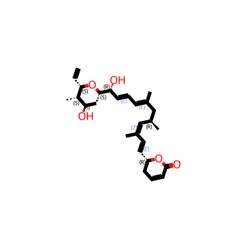 C=C[C@@H]1O[C@H]([C@H](O)/C=C/C=C(\C)C[C@@H](C)/C=C(C)\C=C\[C@H]2CC=CC(=O)O2)C[C@@H](O)[C@@H]1C